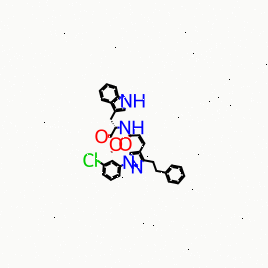 COC(=O)[C@H](Cc1c[nH]c2ccccc12)NC(=O)/C=C\c1cn(-c2cccc(Cl)c2)nc1CCc1ccccc1